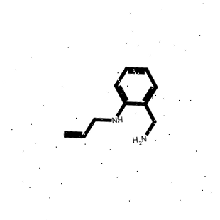 C=CCNc1ccccc1CN